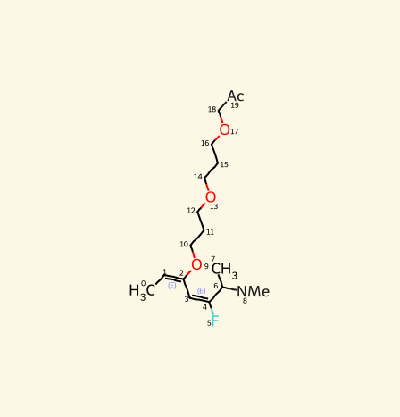 C/C=C(\C=C(\F)C(C)NC)OCCCOCCCOCC(C)=O